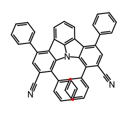 N#Cc1cc(-c2ccccc2)c2c3cccc4c5c(-c6ccccc6)cc(C#N)c(-c6ccccc6)c5n(c2c1-c1ccccc1)c34